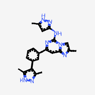 Cc1cn2c(Nc3cc(C)[nH]n3)nc(-c3cccc(-c4c(C)n[nH]c4C)c3)cc2n1